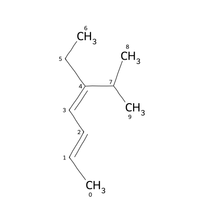 CC=CC=C(CC)C(C)C